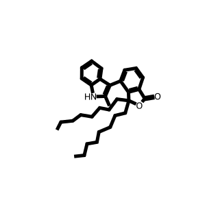 CCCCCCCCC1(CCCCCCCC)OC(=O)c2cccc(-c3c(C)[nH]c4ccccc34)c21